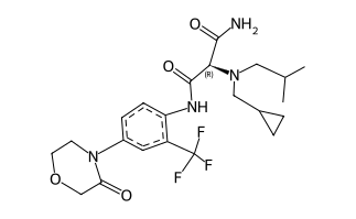 CC(C)CN(CC1CC1)[C@H](C(N)=O)C(=O)Nc1ccc(N2CCOCC2=O)cc1C(F)(F)F